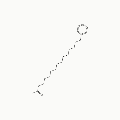 CC(=O)CCCCCCCCCCCCCCc1ccccc1